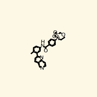 Cc1ccc(NC(=O)c2ccc(N3CCOCS3(=O)=O)cc2)cc1-c1ccc2cnccc2n1